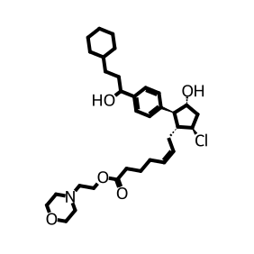 O=C(CCC/C=C\C[C@@H]1[C@@H](c2ccc(C(O)CCC3CCCCC3)cc2)[C@H](O)C[C@H]1Cl)OCCN1CCOCC1